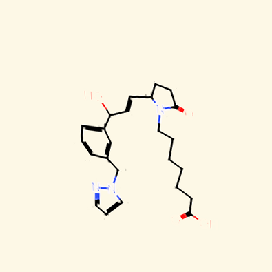 O=C(O)CCCCCCN1C(=O)CCC1C=CC(O)c1cccc(Cn2cccn2)c1